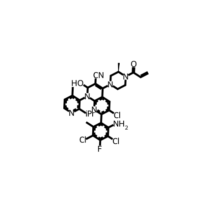 C=CC(=O)N1CCN(C2=C(C#N)C(O)N(c3c(C)ccnc3C(C)C)c3nc(-c4c(C)c(Cl)c(F)c(Cl)c4N)c(Cl)cc32)C[C@H]1C